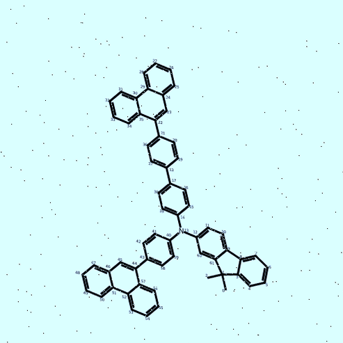 CC1(C)c2ccccc2-c2ccc(N(c3ccc(-c4ccc(-c5cc6ccccc6c6ccccc56)cc4)cc3)c3ccc(-c4cc5ccccc5c5ccccc45)cc3)cc21